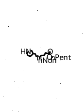 CCCCCCCCCN(CCCC(=O)OCCCCC)CCC1CCCNC1